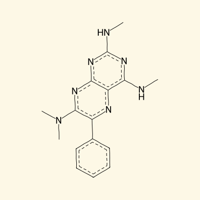 CNc1nc(NC)c2nc(-c3ccccc3)c(N(C)C)nc2n1